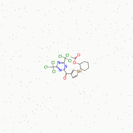 CC(=O)OC1CCCCC1[SH]1C=CC(C(=O)c2nc(C(Cl)(Cl)Cl)nc(C(Cl)(Cl)Cl)n2)=C1